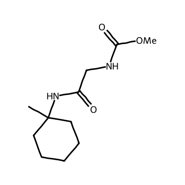 COC(=O)NCC(=O)NC1(C)CCCCC1